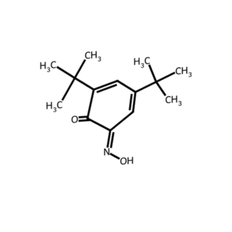 CC(C)(C)C1=C/C(=N\O)C(=O)C(C(C)(C)C)=C1